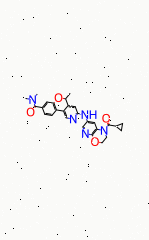 CC1Oc2cc(C(=O)N(C)C)ccc2-c2cnc(Nc3cnc4c(c3)N(C(=O)C3CC3)CCO4)cc21